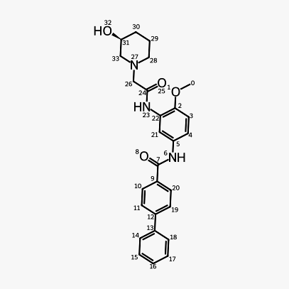 COc1ccc(NC(=O)c2ccc(-c3ccccc3)cc2)cc1NC(=O)CN1CCC[C@H](O)C1